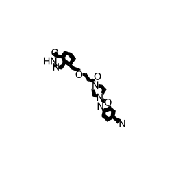 N#Cc1ccc2nc(N3CCN(C(=O)CCOCCc4cccc5c(=O)[nH]ncc45)CC3)oc2c1